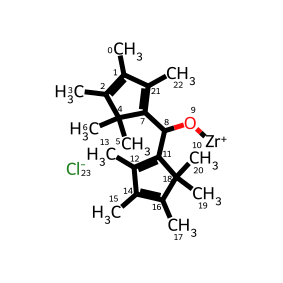 CC1=C(C)C(C)(C)C(C([O][Zr+])C2=C(C)C(C)=C(C)C2(C)C)=C1C.[Cl-]